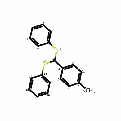 Cc1ccc(C(Sc2ccccc2)Sc2ccccc2)cc1